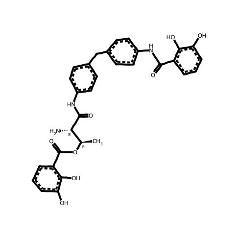 C[C@@H](OC(=O)c1cccc(O)c1O)[C@H](N)C(=O)Nc1ccc(Cc2ccc(NC(=O)c3cccc(O)c3O)cc2)cc1